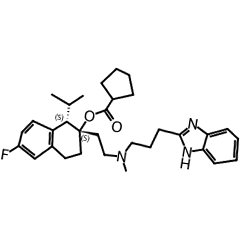 CC(C)[C@H]1c2ccc(F)cc2CC[C@@]1(CCN(C)CCCc1nc2ccccc2[nH]1)OC(=O)C1CCCC1